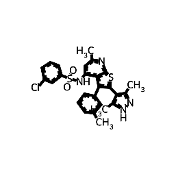 Cc1cccc(-c2c(-c3c(C)n[nH]c3C)sc3nc(C)cc(NS(=O)(=O)c4cccc(Cl)c4)c23)c1